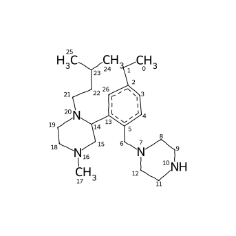 CCc1ccc(CN2CCNCC2)c(C2CN(C)CCN2CCC(C)C)c1